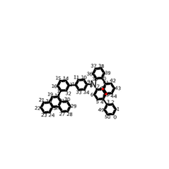 c1ccc(-c2ccc(N(c3ccc(-c4cccc(-c5cc6ccccc6c6ccccc56)c4)cc3)c3ccccc3-c3ccccc3)cc2)cc1